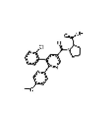 COc1ccc(-c2ncc(C(=O)N3CCCC3C(=O)O)cc2-c2ccccc2Cl)cc1